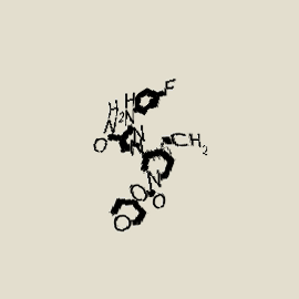 C=C[C@@H]1CCN(C(=O)OC2CCOCC2)C[C@H]1n1cc(C(N)=O)c(Nc2ccc(F)cc2)n1